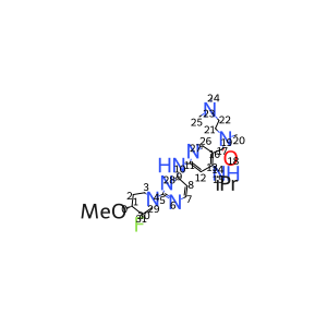 CO[C@H]1CCN(c2nccc(Nc3cc(NC(C)C)c(C(=O)N(C)CCN(C)C)cn3)n2)C[C@H]1F